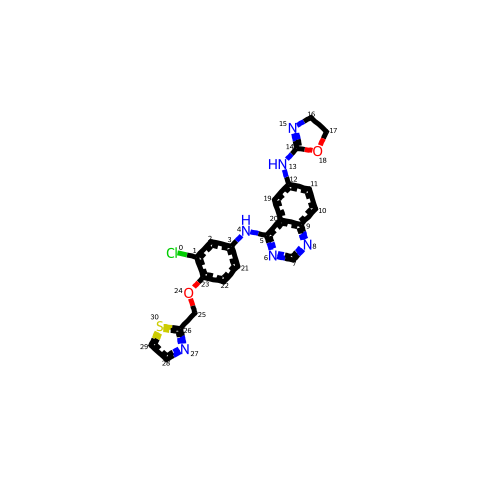 Clc1cc(Nc2ncnc3ccc(NC4=NCCO4)cc23)ccc1OCc1nccs1